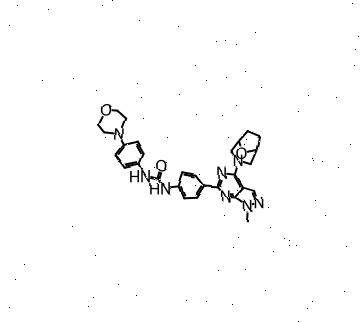 Cn1ncc2c(N3CC4CCC(C3)O4)nc(-c3ccc(NC(=O)Nc4ccc(N5CCOCC5)cc4)cc3)nc21